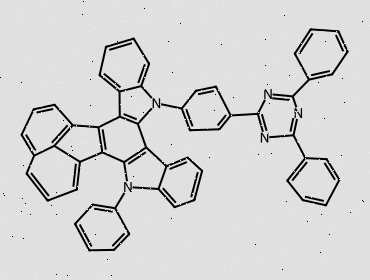 c1ccc(-c2nc(-c3ccccc3)nc(-c3ccc(-n4c5ccccc5c5c6c(c7c(c8ccccc8n7-c7ccccc7)c54)-c4cccc5cccc-6c45)cc3)n2)cc1